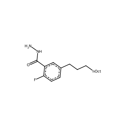 CCCCCCCCCCCc1ccc(F)c(C(=O)NN)c1